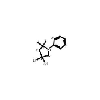 CCC1(CC)CN(c2ccccc2)C(C)(C)C1